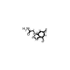 NC(=O)Cn1nnc2c(F)cc(F)cc21